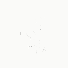 COc1c(SCc2ccccc2)cc(C=O)c(F)c1Cl